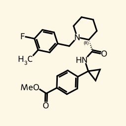 COC(=O)c1ccc(C2(NC(=O)[C@H]3CCCCN3Cc3ccc(F)c(C)c3)CC2)cc1